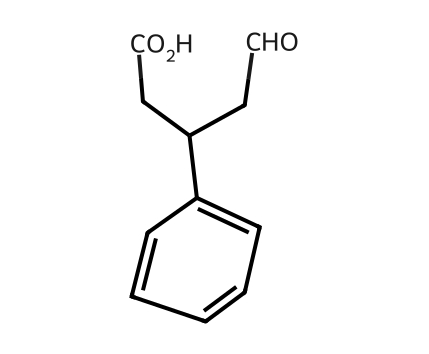 O=CCC(CC(=O)O)c1ccccc1